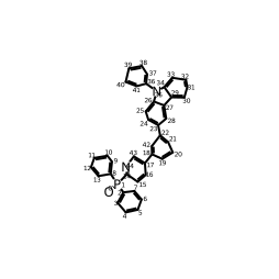 O=P(c1ccccc1)(c1ccccc1)c1ccc(-c2cccc(-c3ccc4c(c3)c3ccccc3n4-c3ccccc3)c2)cn1